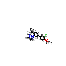 CCCOc1ccc(-c2ccc(C(CC)CC)c(-n3ccc(C)n3)c2)cc1F